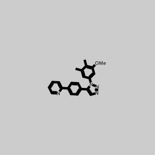 COc1cc(-n2nncc2-c2ccc(-c3ccccn3)cc2)cc(C)c1C